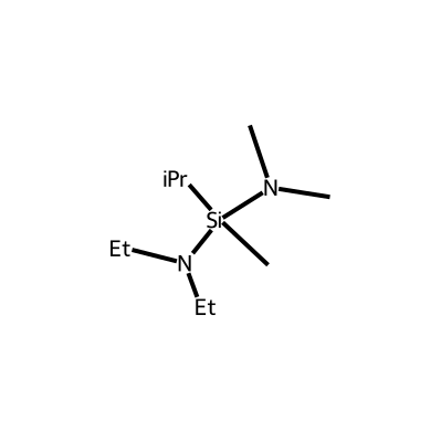 CCN(CC)[Si](C)(C(C)C)N(C)C